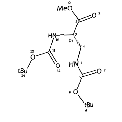 COC(=O)[C@H](CNC(=O)OC(C)(C)C)NC(=O)OC(C)(C)C